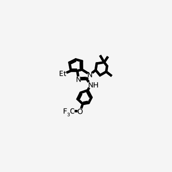 CCc1cccc2c1nc(Nc1ccc(OC(F)(F)F)cc1)n2C1CC(C)CC(C)(C)C1